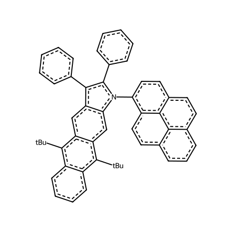 CC(C)(C)c1c2ccccc2c(C(C)(C)C)c2cc3c(cc12)c(-c1ccccc1)c(-c1ccccc1)n3-c1ccc2ccc3cccc4ccc1c2c34